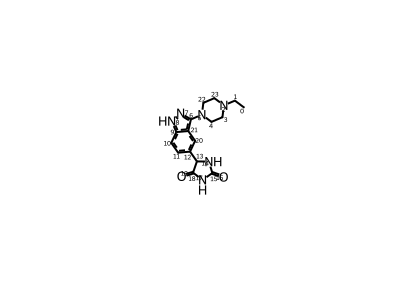 CCN1CCN(c2n[nH]c3ccc(C4NC(=O)NC4=O)cc23)CC1